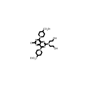 CCOC(=O)C1CCN(c2nc(N(CCO)CCO)nc3c(N4CCC(C(=O)OCC)CC4)nc(Cl)nc23)CC1